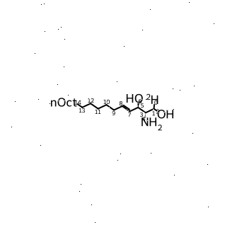 [2H]C(O)[C@H](N)[C@H](O)/C=C/CCCCCCCCCCCCC